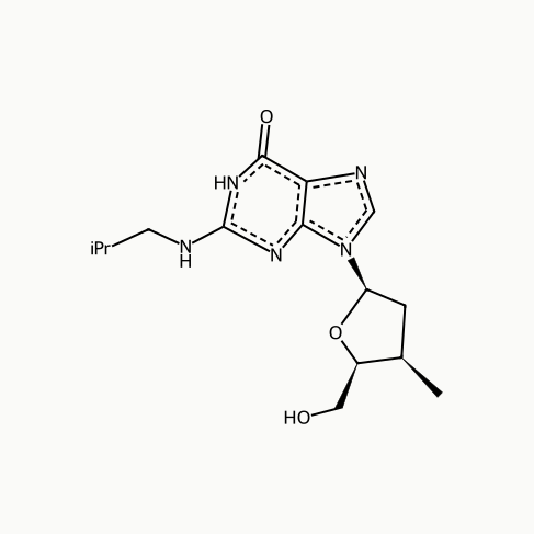 CC(C)CNc1nc2c(ncn2[C@H]2C[C@@H](C)[C@@H](CO)O2)c(=O)[nH]1